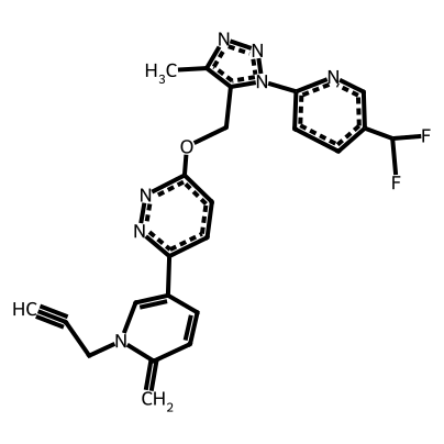 C#CCN1C=C(c2ccc(OCc3c(C)nnn3-c3ccc(C(F)F)cn3)nn2)C=CC1=C